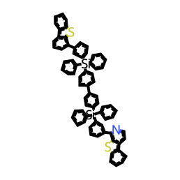 c1ccc([Si](c2ccccc2)(c2ccc(-c3ccc([Si](c4ccccc4)(c4ccccc4)c4cccc(-c5nccc6c5sc5ccccc56)c4)cc3)cc2)c2cccc(-c3cccc4c3sc3ccccc34)c2)cc1